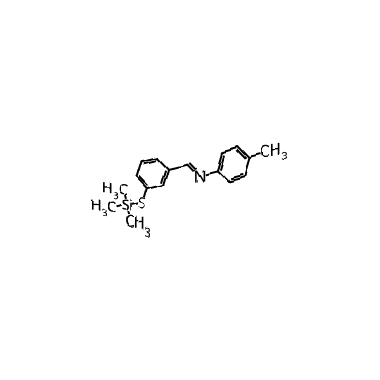 Cc1ccc(N=Cc2cccc(S[Si](C)(C)C)c2)cc1